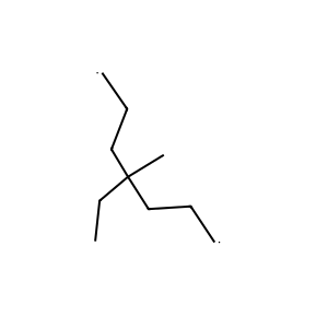 [CH2]CCC(C)(CC)CC[CH2]